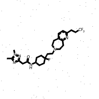 Cc1nc(CC(=O)NC2CCC(F)(CCN3CCc4ccc(CCC(F)(F)F)nc4CC3)CC2)nn1C